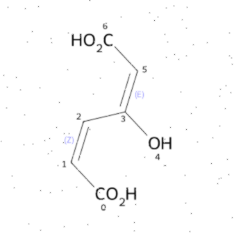 O=C(O)/C=C\C(O)=C/C(=O)O